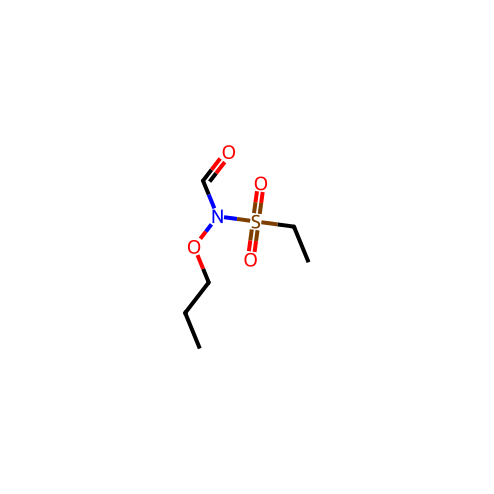 CCCON(C=O)S(=O)(=O)CC